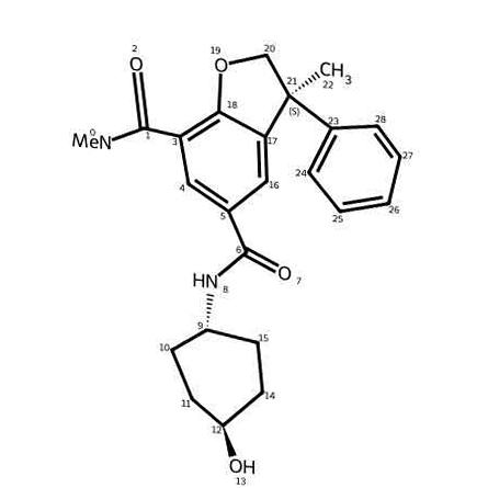 CNC(=O)c1cc(C(=O)N[C@H]2CC[C@H](O)CC2)cc2c1OC[C@@]2(C)c1ccccc1